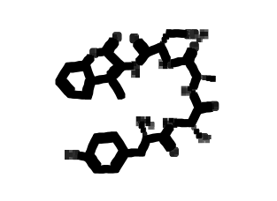 Cc1c(NC(=O)[C@H](CC(=O)O)NC(=O)[C@H](C)NC(=O)[C@@H](NC(=O)[C@@H](N)Cc2ccc(O)cc2)C(C)C)c(=O)oc2ccccc12